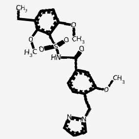 CCc1ccc(OC)c(S(=O)(=O)NC(=O)c2ccc(Cn3cccn3)c(OC)c2)c1OC